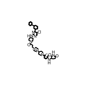 O=C1CCC(Nc2ccc(N3CCC(N4CCN(CCC(=O)N5CCC(Nc6ncc(Cl)c(-c7cccc(-c8ccccc8)c7)n6)CC5)CC4)CC3)cc2)C(=O)N1